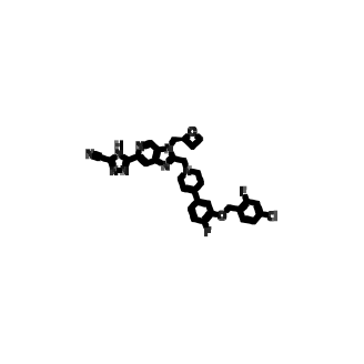 N#Cc1nnc(-c2cc3nc(CN4CC=C(c5ccc(F)c(OCc6ccc(Cl)cc6F)c5)CC4)n(C[C@@H]4CCO4)c3cn2)[nH]1